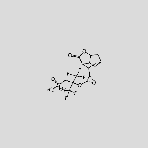 O=C1OC2CC3CC2C1C3C1OC1OC(CS(=O)(=O)O)(C(F)(F)F)C(F)(F)F